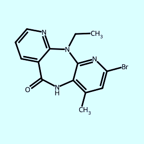 CCN1c2ncccc2C(=O)Nc2c(C)cc(Br)nc21